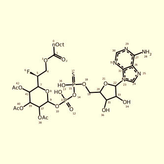 CCCCCCCCC(=O)OC[C@H](F)C1OC(OP(=O)(O)OP(O)(=S)OCC2OC(n3cnc4c(N)ncnc43)C(O)C2O)C(OC(C)=O)C(OC(C)=O)C1OC(C)=O